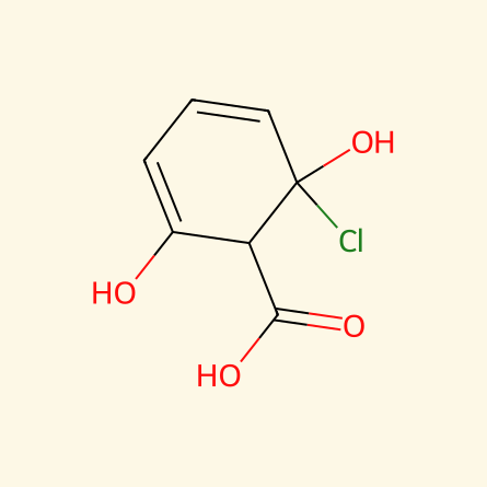 O=C(O)C1C(O)=CC=CC1(O)Cl